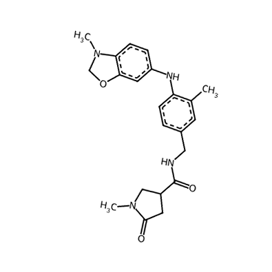 Cc1cc(CNC(=O)C2CC(=O)N(C)C2)ccc1Nc1ccc2c(c1)OCN2C